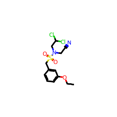 CCOc1cccc(CS(=O)(=O)N(CC#N)CC(Cl)Cl)c1